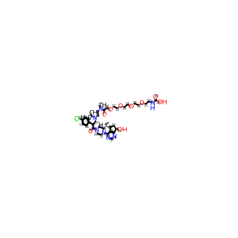 CC(C)N(CCN(C)C(=O)COCCOCCOCCOCCNC(=O)O)CC(C(=O)N1CCN(c2ncnc3c2[C@H](C)C[C@H]3O)CC1)c1ccc(Cl)cc1